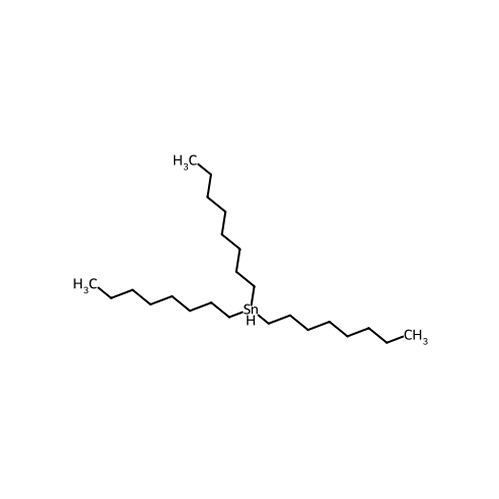 CCCCCCC[CH2][SnH]([CH2]CCCCCCC)[CH2]CCCCCCC